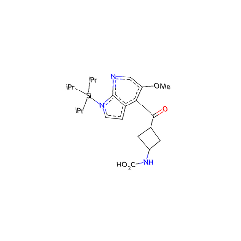 COc1cnc2c(ccn2[Si](C(C)C)(C(C)C)C(C)C)c1C(=O)C1CC(NC(=O)O)C1